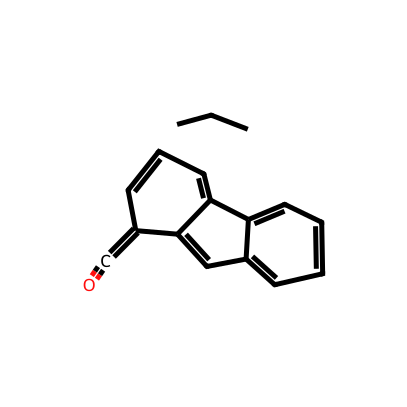 CCC.O=C=c1cccc2c1=Cc1ccccc1-2